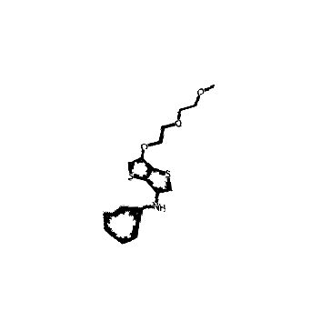 COCCOCCOc1csc2c(Nc3ccccc3)csc12